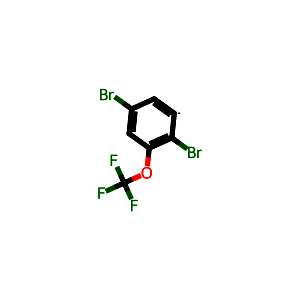 FC(F)(F)Oc1cc(Br)c[c]c1Br